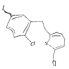 Clc1ccc(Cc2cc(I)ccc2Cl)s1